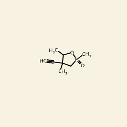 C#CC1(C)CP(C)(=O)OC1C